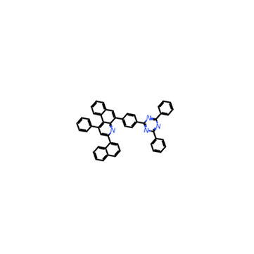 c1ccc(-c2nc(-c3ccccc3)nc(-c3ccc(-c4cc5ccccc5c5c(-c6ccccc6)cc(-c6cccc7ccccc67)nc45)cc3)n2)cc1